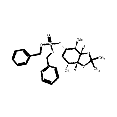 CC(=O)O[C@H]1[C@@H]2OC(C)(C)O[C@@H]2[C@H](C)C[C@@H]1OP(=O)(OCc1ccccc1)OCc1ccccc1